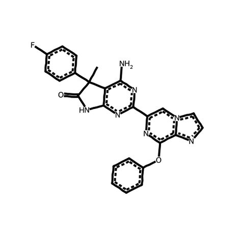 CC1(c2ccc(F)cc2)C(=O)Nc2nc(-c3cn4ccnc4c(Oc4ccccc4)n3)nc(N)c21